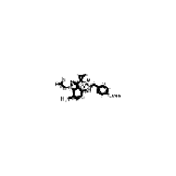 COc1ccc(CNS(=O)(=O)C2(c3nn(CC(F)F)c4c(N)ccc(Cl)c34)CC2)cc1